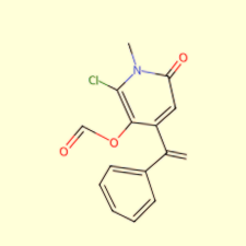 C=C(c1ccccc1)c1cc(=O)n(C)c(Cl)c1OC=O